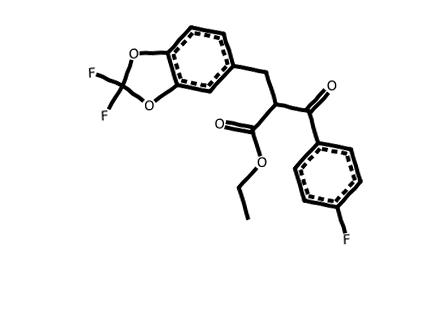 CCOC(=O)C(Cc1ccc2c(c1)OC(F)(F)O2)C(=O)c1ccc(F)cc1